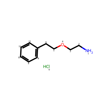 Cl.NCCOCCc1ccccc1